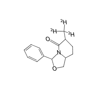 [2H]C([2H])([2H])C1CCC2COC(c3ccccc3)N2C1=O